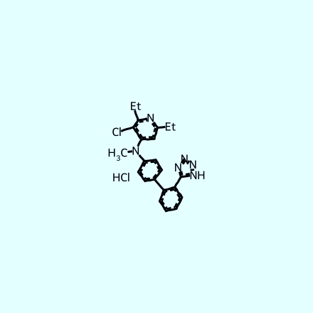 CCc1cc(N(C)c2ccc(-c3ccccc3-c3nnn[nH]3)cc2)c(Cl)c(CC)n1.Cl